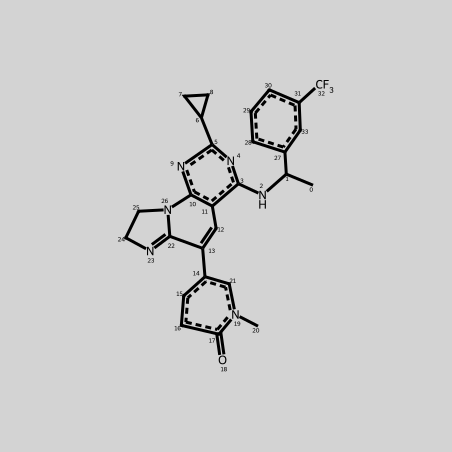 CC(Nc1nc(C2CC2)nc2c1C=C(c1ccc(=O)n(C)c1)C1=NCCN12)c1cccc(C(F)(F)F)c1